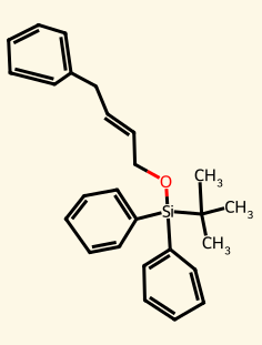 CC(C)(C)[Si](OCC=CCc1ccccc1)(c1ccccc1)c1ccccc1